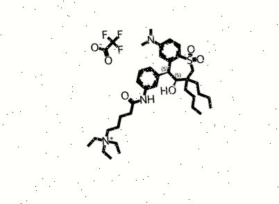 CCCCC1(CCCC)CS(=O)(=O)c2ccc(N(C)C)cc2[C@H](c2cccc(NC(=O)CCCC[N+](CC)(CC)CC)c2)[C@@H]1O.O=C([O-])C(F)(F)F